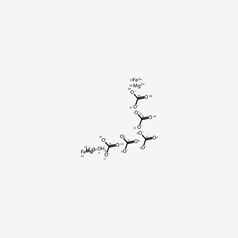 O.O.O=C([O-])[O-].O=C([O-])[O-].O=C([O-])[O-].O=C([O-])[O-].O=C([O-])[O-].[Fe+3].[Fe+3].[Mg+2].[Mg+2]